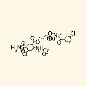 C[C@@H](OC(=O)CCCOC(=O)c1cc(S(N)(=O)=O)c(Cl)cc1NCc1ccco1)N([C@@H](C)C(=O)c1cccc(Cl)c1)C(C)(C)C